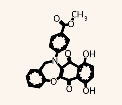 COC(=O)c1ccc(N2Cc3ccccc3OC3=C2C(=O)c2c(O)ccc(O)c2C3=O)cc1